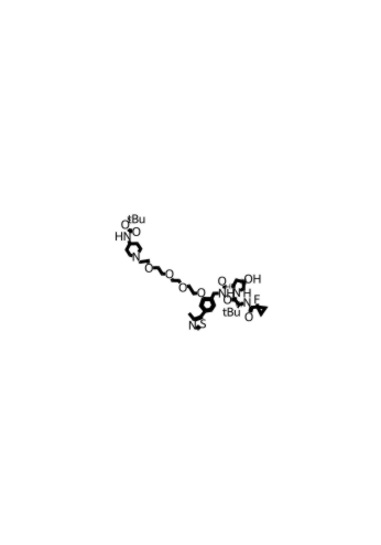 Cc1ncsc1-c1ccc(CNC(=O)[C@@H]2C[C@@H](O)CN2C(=O)[C@@H](NC(=O)C2(F)CC2)C(C)(C)C)c(OCCOCCOCCOCCN2CCC(NC(=O)OC(C)(C)C)CC2)c1